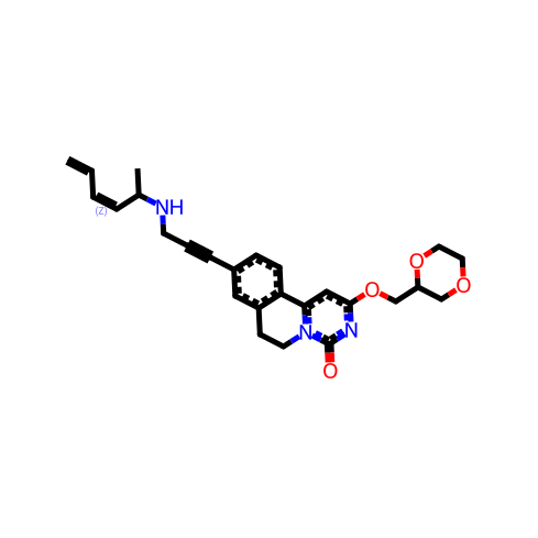 C=C/C=C\C(C)NCC#Cc1ccc2c(c1)CCn1c-2cc(OCC2COCCO2)nc1=O